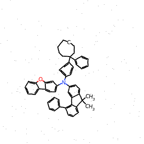 CC1(C)c2ccc(N(c3ccc(C4(c5ccccc5)CCCCCCC4)cc3)c3ccc4c(c3)oc3ccccc34)cc2-c2c(-c3ccccc3)cccc21